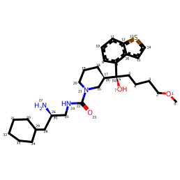 COCCCC[C@@](O)(c1cccc2sccc12)[C@@H]1CCCN(C(=O)NC[C@H](N)CC2CCCCC2)C1